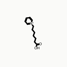 O=C(O)CCCCCC[n+]1ccccc1